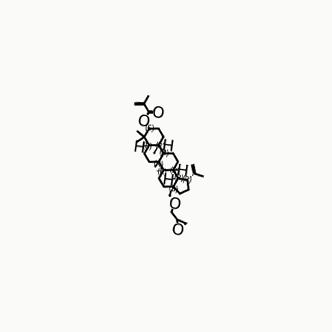 C=C(C)C(=O)O[C@H]1CC[C@]2(C)[C@H]3CC[C@@H]4[C@H]5[C@H](C(=C)C)CC[C@]5(COCC5CO5)CC[C@@]4(C)[C@]3(C)CC[C@H]2C1(C)C